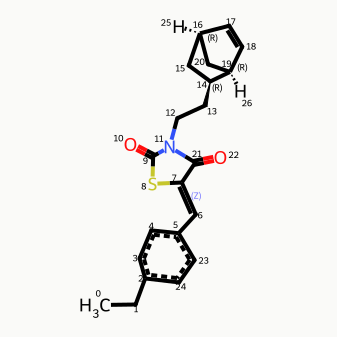 CCc1ccc(/C=C2\SC(=O)N(CC[C@H]3C[C@H]4C=C[C@@H]3C4)C2=O)cc1